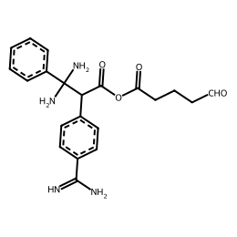 N=C(N)c1ccc(C(C(=O)OC(=O)CCCC=O)C(N)(N)c2ccccc2)cc1